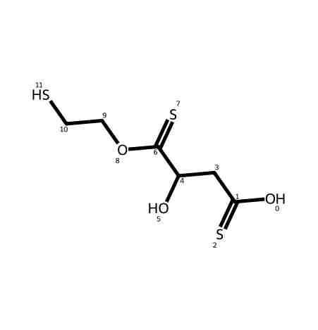 OC(=S)CC(O)C(=S)OCCS